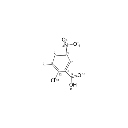 Cc1cc([N+](=O)[O-])cc(C(=O)O)c1Cl